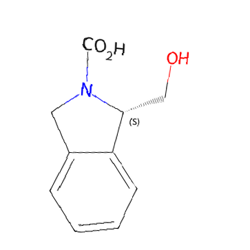 O=C(O)N1Cc2ccccc2[C@H]1CO